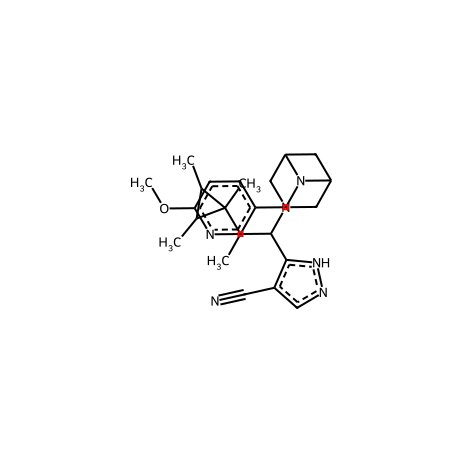 COc1ccc(CN2C3CC2CN(C(c2[nH]ncc2C#N)C(C)C2(C)C(C)C2C)C3)cn1